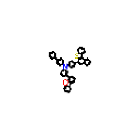 c1ccc(-c2ccc(N(c3ccc(-c4cc5ccccc5c5c4sc4ccccc45)cc3)c3cccc(-c4cccc5c4oc4ccccc45)c3)cc2)cc1